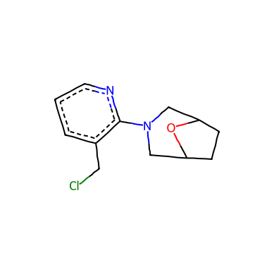 ClCc1cccnc1N1CC2CCC(C1)O2